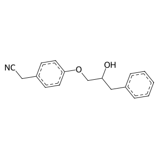 N#CCc1ccc(OCC(O)Cc2ccccc2)cc1